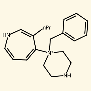 CCCC1=[C]NC=CC=C1[N+]1(Cc2ccccc2)CCNCC1